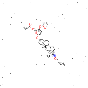 C=CCO/N=C(\C)[C@H]1CCC2C3CC=C4C[C@@H](OC5C=C[C@H](OC(C)=O)[C@@H](COC(C)=O)O5)CC[C@]4(C)C3CC[C@@]21C